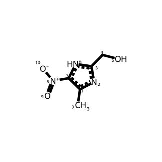 Cc1nc(CO)[nH]c1[N+](=O)[O-]